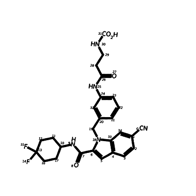 N#Cc1ccc2cc(C(=O)NC3CCC(F)(F)CC3)n(Cc3cccc(NC(=O)CCNC(=O)O)c3)c2c1